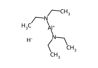 CC[N](CC)[Al+][N](CC)CC.[H-]